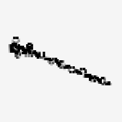 CCOCCOCCOCCOCCOCCOCCOCCNC(=O)CCN1C(=O)C=CC1=O